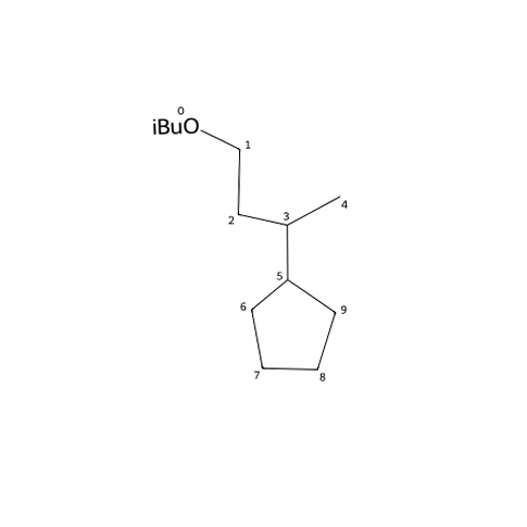 CC(C)COCCC(C)C1CCCC1